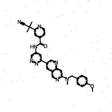 COc1ccc(CN(C)c2cc3ncc(-c4cc(NC(=O)c5ccnc(C(C)(C)C#N)c5)cnn4)cc3cn2)cc1